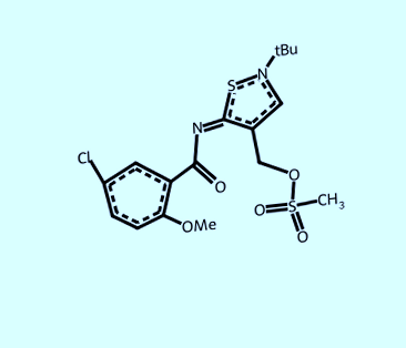 COc1ccc(Cl)cc1C(=O)N=c1sn(C(C)(C)C)cc1COS(C)(=O)=O